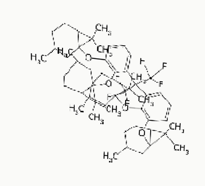 CC1CCC2C(C)(C)C2(Oc2cccc(C(c3cccc(OC45CC(C)CCC4C5(C)C)c3OC34CC(C)CCC3C4(C)C)(C(F)(F)F)C(F)(F)F)c2OC23CC(C)CCC2C3(C)C)C1